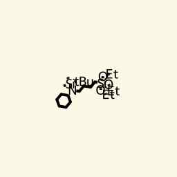 CCO[Si](CCCCN(C1CCCCC1)[Si](C)(C)C(C)(C)C)(OCC)OCC